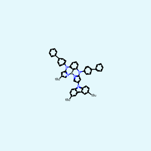 CC(C)(C)c1ccc2c(c1)c1cc(C(C)(C)C)ccc1n2-c1cc2n(c1)B1c3c(cccc3N(c3ccc(-c4ccccc4)cc3)c3cc(C(C)(C)C)cn31)N2c1ccc(-c2ccccc2)cc1